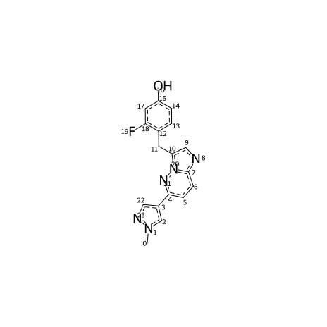 Cn1cc(-c2ccc3ncc(Cc4ccc(O)cc4F)n3n2)cn1